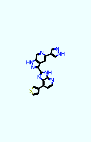 c1cc(-c2ccsc2)c2nc(-c3n[nH]c4cnc(-c5cn[nH]c5)cc34)[nH]c2n1